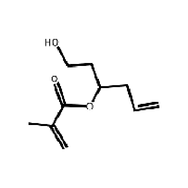 C=CCC(CCO)OC(=O)C(=C)C